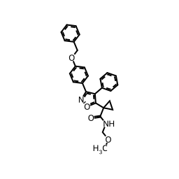 COCNC(=O)C1(c2onc(-c3ccc(OCc4ccccc4)cc3)c2-c2ccccc2)CC1